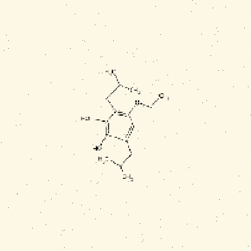 CCOc1cc(CC(C)C)c(O)c(O)c1CC(C)C